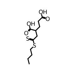 CCCCSC(=S)CC(CCC(=O)O)C(=O)O